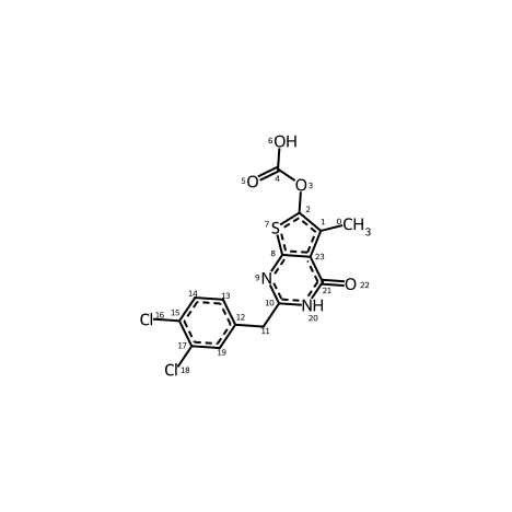 Cc1c(OC(=O)O)sc2nc(Cc3ccc(Cl)c(Cl)c3)[nH]c(=O)c12